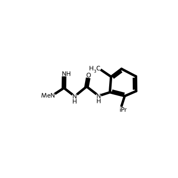 CNC(=N)NC(=O)Nc1c(C)cccc1C(C)C